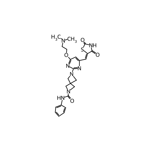 CN(C)CCOc1cc(/C=C2\SC(=O)NC2=O)nc(N2CC3(CN(C(=O)Nc4ccccc4)C3)C2)n1